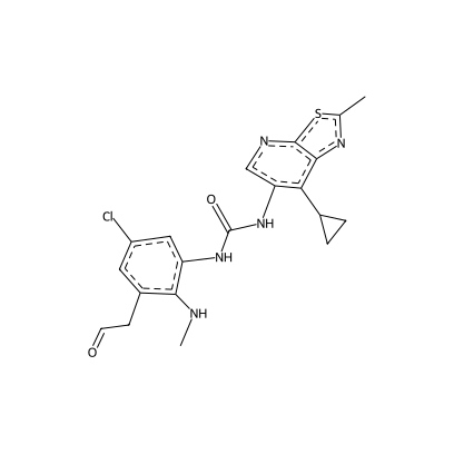 CNc1c(CC=O)cc(Cl)cc1NC(=O)Nc1cnc2sc(C)nc2c1C1CC1